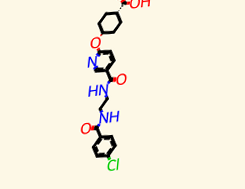 O=C(NCCNC(=O)c1ccc(O[C@H]2CC[C@@H](C(=O)O)CC2)nc1)c1ccc(Cl)cc1